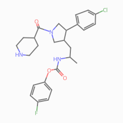 CC(CC1CN(C(=O)C2CCNCC2)CC1c1ccc(Cl)cc1)NC(=O)Oc1ccc(F)cc1